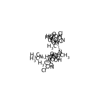 CCN(CC)CCCC(C)N(C(=O)OC(P(=O)(O)O)P(=O)(O)OCCN(CC)CCCC(C)N(C(=O)OC(P(=O)(O)O)P(=O)(O)O)c1ccnc2cc(Cl)ccc12)c1ccnc2cc(Cl)ccc12